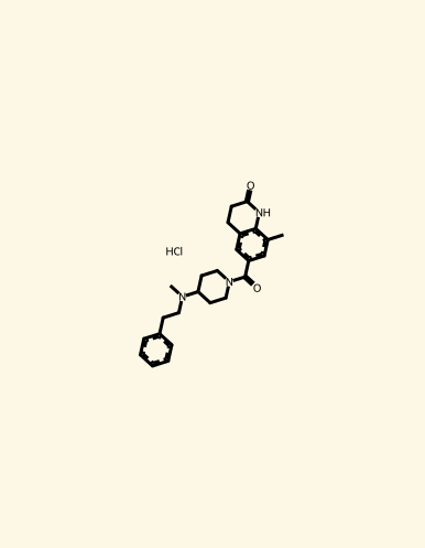 Cc1cc(C(=O)N2CCC(N(C)CCc3ccccc3)CC2)cc2c1NC(=O)CC2.Cl